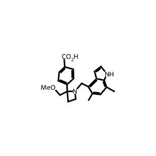 COCC1(c2ccc(C(=O)O)cc2)CCN1Cc1c(C)cc(C)c2[nH]ccc12